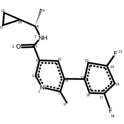 Cc1ncc(C(=O)N[C@@H](C)C2CC2)cc1-c1cc(F)cc(F)c1